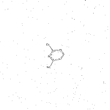 CCc1nccc(C#N)n1